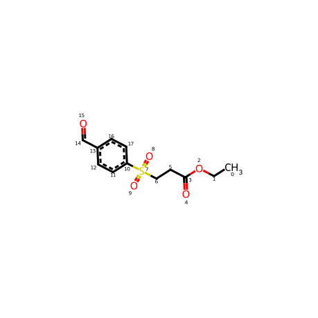 CCOC(=O)CCS(=O)(=O)c1ccc(C=O)cc1